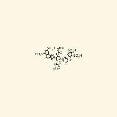 CC=C1C=Cc2c(cc(S(=O)(=O)O)cc2S(=O)(=O)O)/C1=N/N(C)c1cc(OC(=O)OC(C)(C)C)c(-n2nc3ccc4c(S(=O)(=O)O)cc(S(=O)(=O)O)cc4c3n2)cc1OC(=O)OC(C)(C)C